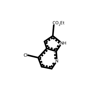 CCOC(=O)c1cc2c(Cl)ccnc2[nH]1